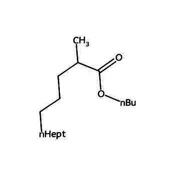 CCCCCCCCCCC(C)C(=O)OCCCC